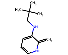 C=C1NC=CC=C1NCC(C)(C)C